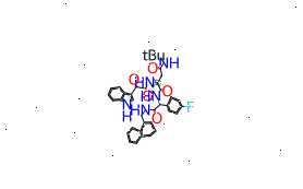 CC(C)(C)NC(=O)C[C@H](NC(=O)C(=O)c1c[nH]c2ccccc12)C(=O)NC(C(=O)NCc1cccc2ccccc12)c1ccc(F)cc1